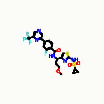 COCCC(NC(=O)c1ccc(-c2cncc(C(F)(F)F)n2)cc1F)c1csc(NS(=O)(=O)C2CC2)n1